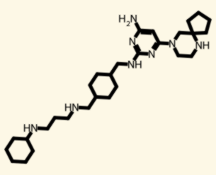 Nc1cc(N2CCNC3(CCCC3)C2)nc(NCC2CCC(CNCCCNC3CCCCC3)CC2)n1